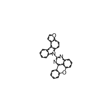 c1ccc2c(c1)Oc1cccc3nc(-n4c5ccccc5c5c6ccoc6ccc54)nc-2c13